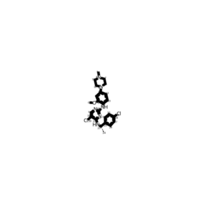 COc1cc(N2CCN(C)CC2)ccc1Nc1ncc(Cl)c(N[C@@H](C)c2ccc(Cl)cc2)n1